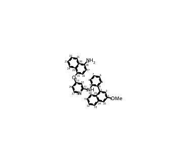 COc1cc(-c2ccccc2Nc2cc(Oc3ccc(N)c4ccccc34)ccn2)c2ccccc2c1